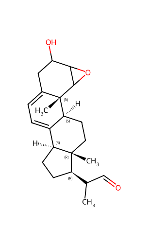 CC(C=O)[C@H]1CC[C@H]2C3=CC=C4CC(O)C5OC5[C@]4(C)[C@H]3CC[C@]12C